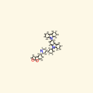 c1cc(-c2ccnc(-c3ccc4oc5occc5c4c3)c2)cc(-n2c3ccccc3c3cc(-n4c5ccccc5c5ccccc54)ccc32)c1